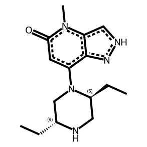 CC[C@@H]1CN(c2cc(=O)n(C)c3c[nH]nc23)[C@@H](CC)CN1